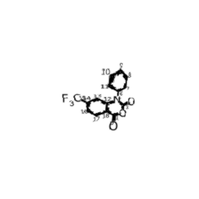 O=c1oc(=O)n(-c2ccccc2)c2cc(C(F)(F)F)ccc12